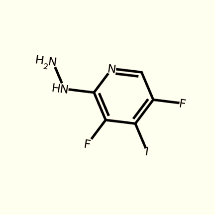 NNc1ncc(F)c(I)c1F